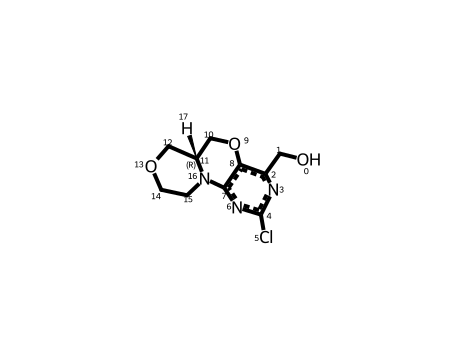 OCc1nc(Cl)nc2c1OC[C@H]1COCCN21